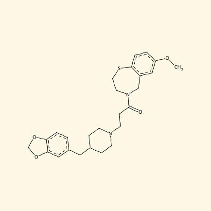 COc1ccc2c(c1)CN(C(=O)CCN1CCC(Cc3ccc4c(c3)OCO4)CC1)CCS2